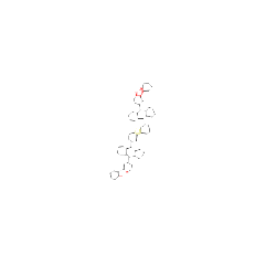 c1ccc2c(c1)oc1ccc(-c3c4ccccc4c(-c4ccc5sc6c(-c7c8ccccc8c(-c8ccc9oc%10ccccc%10c9c8)c8ccccc78)cccc6c5c4)c4ccccc34)cc12